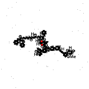 COc1ccc(C#CCNC2(C)CCN(C3CCN(c4nc([C@@](COCNC(=O)CNC(=O)[C@H](Cc5ccccc5)NC(=O)CNC(=O)CNC(=O)CCCCCN5C(=O)C(Sc6ccccc6)=C(Sc6ccccc6)C5=O)(OC5CC5)c5ccccc5)c5cc(-c6cn(C)c(=O)c7[nH]ccc67)ccc5n4)CC3)CC2)cc1N1CCC(=O)NC1=O